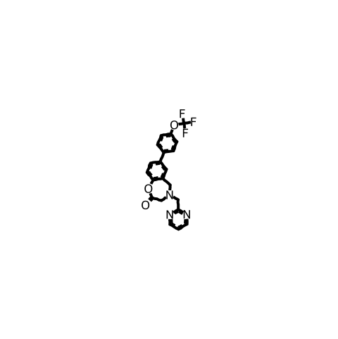 O=C1CN(Cc2ncccn2)Cc2cc(-c3ccc(OC(F)(F)F)cc3)ccc2O1